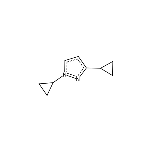 c1cn(C2CC2)nc1C1CC1